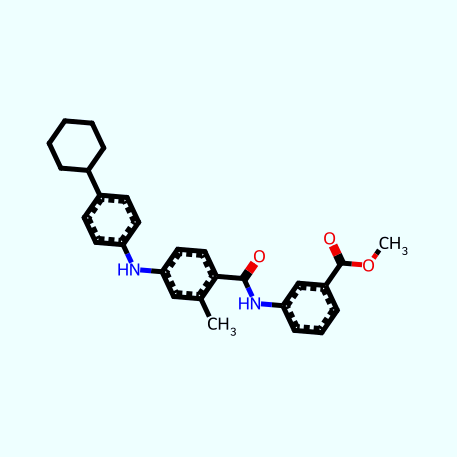 COC(=O)c1cccc(NC(=O)c2ccc(Nc3ccc(C4CCCCC4)cc3)cc2C)c1